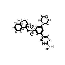 CNc1ncc(-c2cc(N3CCOCC3)cc(S(=O)(=O)CC3=CCNc4ccccc43)c2)cn1